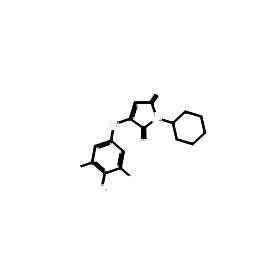 O=C1C=C(Nc2cc(F)c(O)c(F)c2)C(=O)N1C1CCCCC1